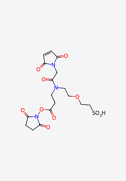 O=C(CCN(CCOCCS(=O)(=O)O)C(=O)CN1C(=O)C=CC1=O)ON1C(=O)CCC1=O